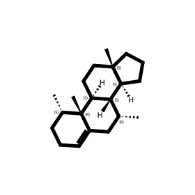 C[C@@H]1CC2=CCC[C@H](C)[C@]2(C)[C@H]2CC[C@]3(C)CCC[C@H]3[C@H]12